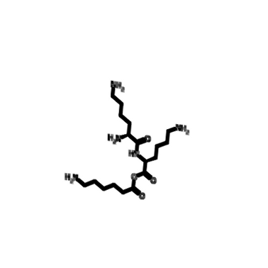 NCCCCCC(=O)OC(=O)[C@H](CCCCN)NC(=O)[C@@H](N)CCCCN